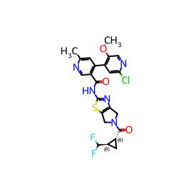 COc1cnc(Cl)cc1-c1cc(C)ncc1C(=O)Nc1nc2c(s1)CN(C(=O)[C@@H]1C[C@H]1C(F)F)C2